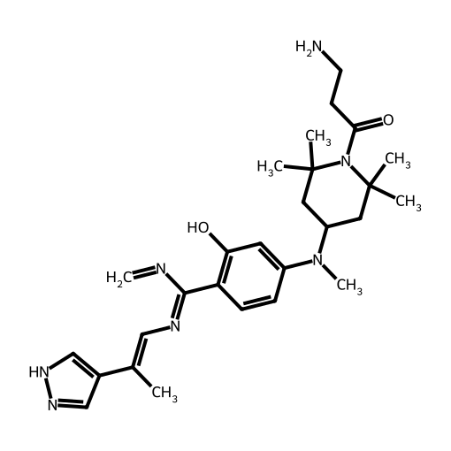 C=N/C(=N\C=C(/C)c1cn[nH]c1)c1ccc(N(C)C2CC(C)(C)N(C(=O)CCN)C(C)(C)C2)cc1O